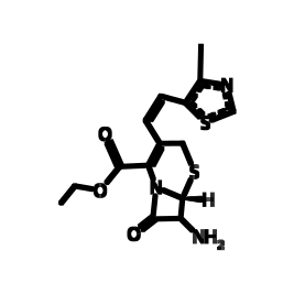 CCOC(=O)C1=C(/C=C\c2scnc2C)CS[C@@H]2C(N)C(=O)N12